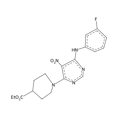 CCOC(=O)C1CCN(c2ncnc(Nc3cccc(F)c3)c2[N+](=O)[O-])CC1